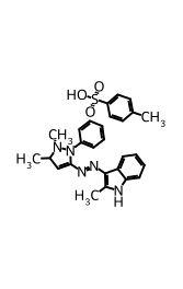 Cc1[nH]c2ccccc2c1N=NC1=CC(C)N(C)N1c1ccccc1.Cc1ccc(S(=O)(=O)O)cc1